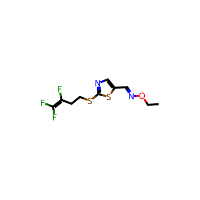 CCON=Cc1cnc(SCCC(F)=C(F)F)s1